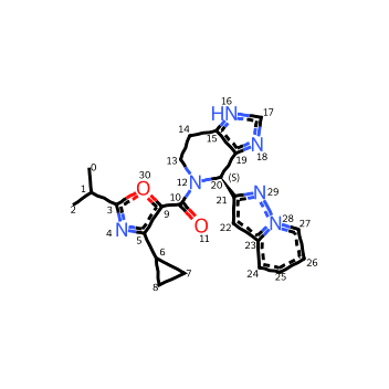 CC(C)c1nc(C2CC2)c(C(=O)N2CCc3[nH]cnc3[C@H]2c2cc3ccccn3n2)o1